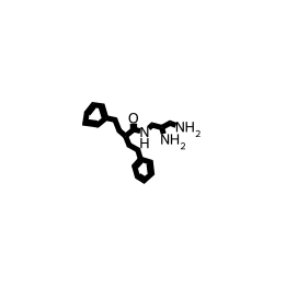 NCC(N)CNC(=O)C(CCc1ccccc1)CCc1ccccc1